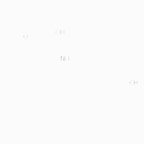 CCCCCNC1(C(=O)O)Cc2ccccc2C1